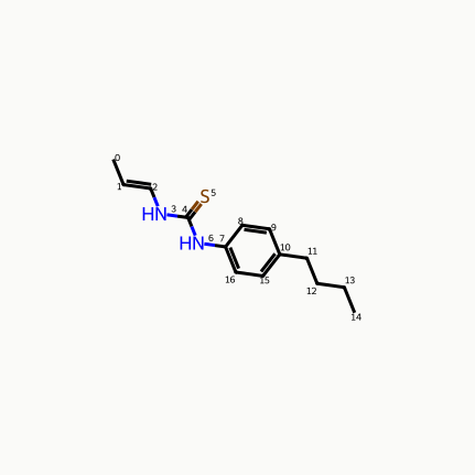 CC=CNC(=S)Nc1ccc(CCCC)cc1